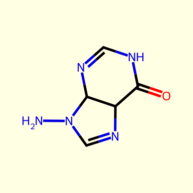 NN1C=NC2C(=O)NC=NC21